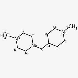 CN1CCC(CN2CCN(C)CC2)CC1